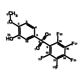 COc1ccc(S(=O)(=O)c2c(F)c(F)c(F)c(F)c2F)cc1O